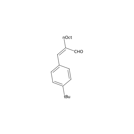 CCCCCCCCC(C=O)=Cc1ccc(C(C)(C)C)cc1